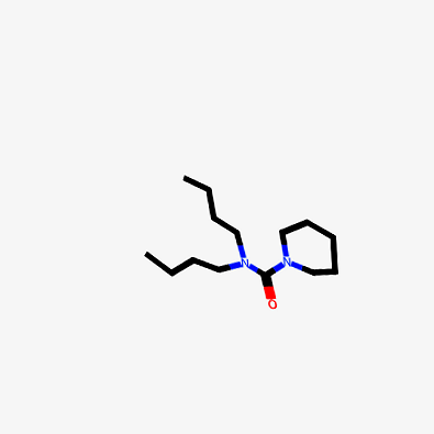 CCCCN(CCCC)C(=O)N1CCCCC1